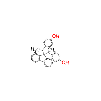 CC(c1ccc(O)cc1)C1(C(C)c2ccc(O)cc2)c2ccccc2-c2ccccc21